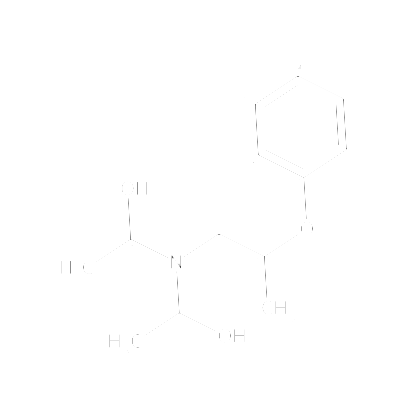 CC(CN(C(C)O)C(C)O)Oc1ccccc1